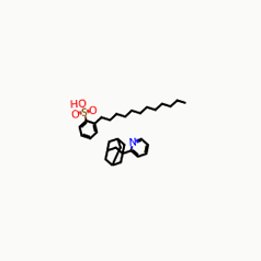 CCCCCCCCCCCCc1ccccc1S(=O)(=O)O.c1ccc(C23CC4CC(CC(C4)C2)C3)nc1